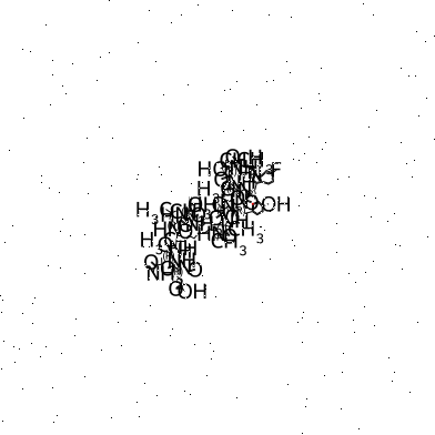 CNC(=O)C(C)(CCCCCCCCC(C)(NC(=O)[C@@H](CCC(N)=O)NC(=O)[C@@H](CCC(=O)O)NC=O)C(=O)N[C@H](CC(C)C)C(=O)N[C@H](CO)C(N)=O)NC(=O)[C@@H](C)NC(=O)[C@@H](Cc1ccc(O)cc1)NC(=O)[C@@H](Cc1c[nH]c2cc(F)ccc12)NC(=O)[C@@H](C)NC(=O)[C@H](NC(C)=O)[C@H](C)O